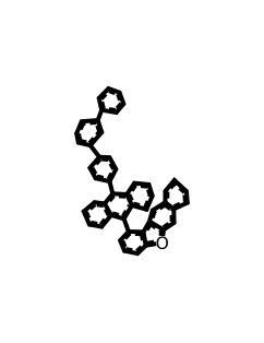 c1ccc(-c2cccc(-c3ccc(-c4c5ccccc5c(-c5cccc6oc7cc8ccccc8cc7c56)c5ccccc45)cc3)c2)cc1